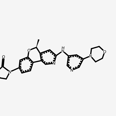 C[C@@H]1Oc2cc(N3CCCC3=O)ccc2-c2cnc(Nc3cncc(N4CCOCC4)c3)cc21